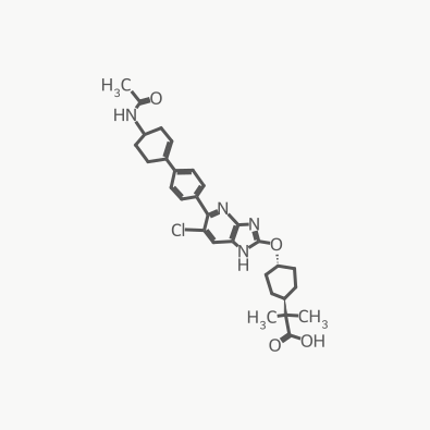 CC(=O)NC1CC=C(c2ccc(-c3nc4nc(O[C@H]5CC[C@H](C(C)(C)C(=O)O)CC5)[nH]c4cc3Cl)cc2)CC1